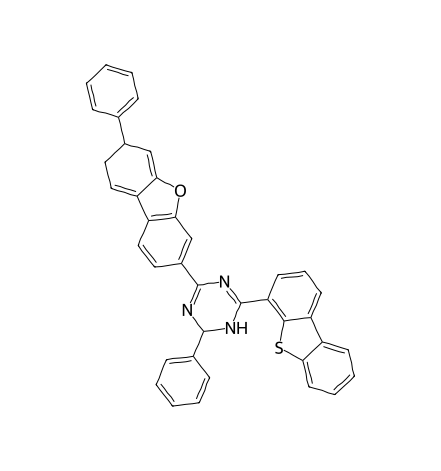 C1=c2oc3cc(C4=NC(c5ccccc5)NC(c5cccc6c5sc5ccccc56)=N4)ccc3c2=CCC1c1ccccc1